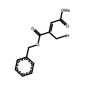 COC(=O)C=C(CC(C)C)C(=O)OCc1ccccc1